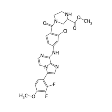 COC(=O)C1CN(C(=O)c2ccc(Nc3nccn4c(-c5ccc(OC)c(F)c5F)cnc34)cc2Cl)CCN1